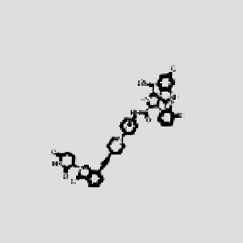 CC(C)(C)C[C@@H]1N[C@@H](C(=O)NC23CCC(N4CCC(C#Cc5cccc6c5CN(C5CCC(=O)NC5=O)C6=O)CC4)(CC2)CC3)[C@H](c2cccc(Cl)c2F)[C@]12C(=O)Nc1cc(Cl)ccc12